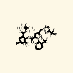 Cc1cc(I)cc(C(=O)NC(C)(C)C)c1NC(=O)c1cc(Cn2nnc(C(F)(F)F)n2)nn1-c1ncccc1C(F)(F)F